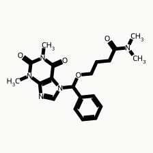 CN(C)C(=O)CCCOC(c1ccccc1)n1cnc2c1c(=O)n(C)c(=O)n2C